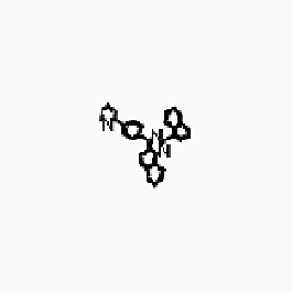 c1ccc(-c2ccc(-c3nc(-c4cccc5ccccc45)nc4c3ccc3ccccc34)cc2)nc1